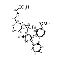 COc1cccc(-c2c(-c3ccccc3)nn(C[C@H]3CC[C@H](COCC(=O)O)CC3)c2C2CC2)c1F